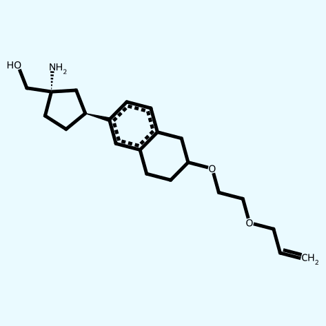 C=CCOCCOC1CCc2cc([C@H]3CC[C@@](N)(CO)C3)ccc2C1